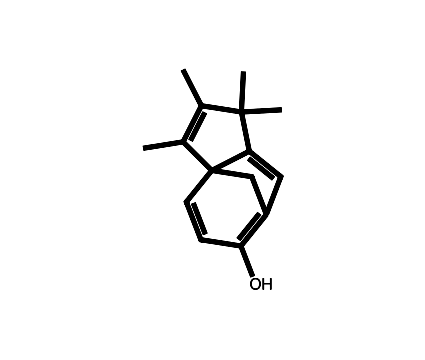 CC1=C(C)C23C=CC(O)=C(C=C2C1(C)C)C3